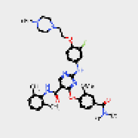 CCCN1CCN(CCOc2ccc(Nc3ncc(C(=O)Nc4c(C)cccc4C)c(Oc4ccc(C(=O)N(CC)CC)cc4OC)n3)cc2F)CC1